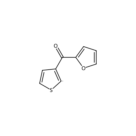 O=C(c1[c]scc1)c1ccco1